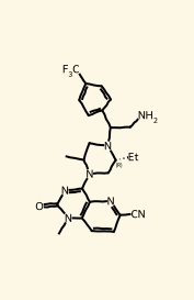 CC[C@@H]1CN(c2nc(=O)n(C)c3ccc(C#N)nc23)C(C)CN1C(CN)c1ccc(C(F)(F)F)cc1